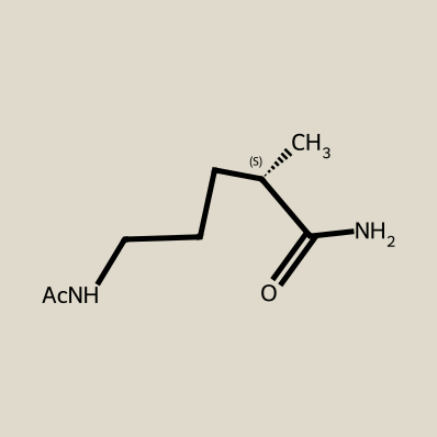 CC(=O)NCCC[C@H](C)C(N)=O